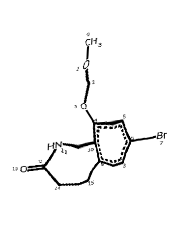 COCOc1cc(Br)cc2c1NC(=O)CC2